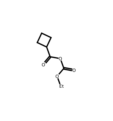 CCOC(=O)OC(=O)C1CCC1